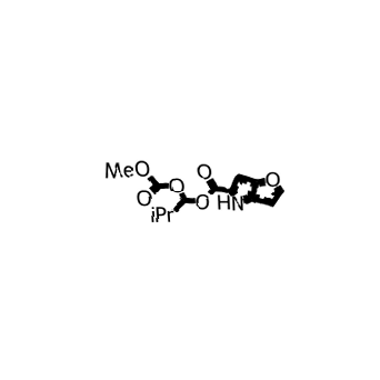 COC(=O)OC(OC(=O)c1cc2occc2[nH]1)C(C)C